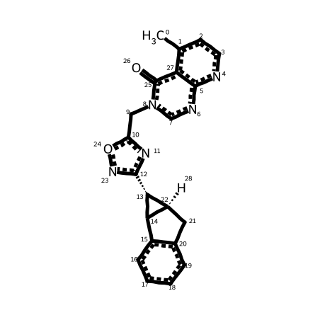 Cc1ccnc2ncn(Cc3nc([C@H]4C5c6ccccc6C[C@@H]54)no3)c(=O)c12